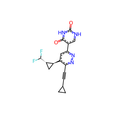 O=c1[nH]cc(-c2cc([C@H]3C[C@@H]3C(F)F)c(C#CC3CC3)nn2)c(=O)[nH]1